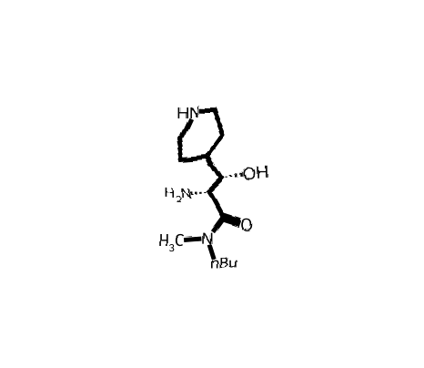 CCCCN(C)C(=O)[C@H](N)[C@@H](O)C1CCNCC1